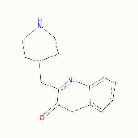 O=C1Cc2ccccc2N=C1CC1CCNCC1